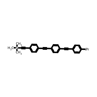 CC(C)c1ccc(C#Cc2ccc(C#Cc3ccc(C#C[Si](C)(C)C)cc3)cc2)cc1